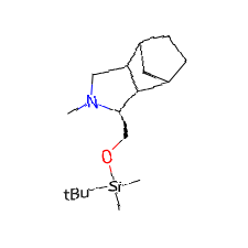 CN1CC2C3CCC(C3)C2[C@H]1CO[Si](C)(C)C(C)(C)C